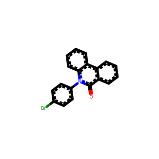 O=c1c2ccccc2c2ccccc2n1-c1ccc(Br)cc1